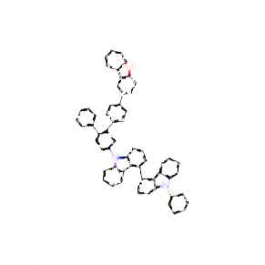 c1ccc(-c2ccc(-n3c4ccccc4c4c(-c5cccc6c5c5ccccc5n6-c5ccccc5)cccc43)cc2-c2ccc(-c3ccc4oc5ccccc5c4c3)cc2)cc1